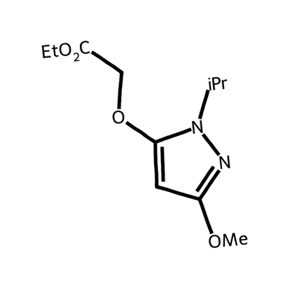 CCOC(=O)COc1cc(OC)nn1C(C)C